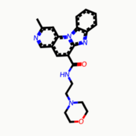 Cc1cc2c(cn1)cc(C(=O)NCCN1CCOCC1)c1nc3ccccc3n12